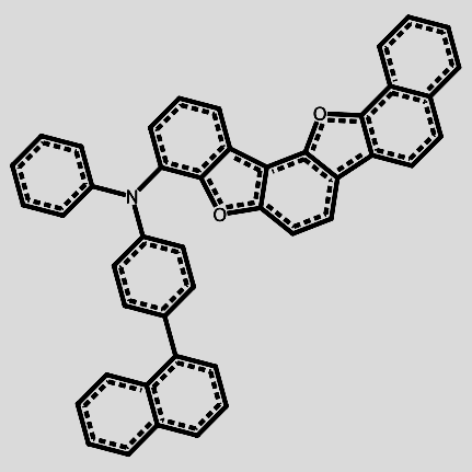 c1ccc(N(c2ccc(-c3cccc4ccccc34)cc2)c2cccc3c2oc2ccc4c5ccc6ccccc6c5oc4c23)cc1